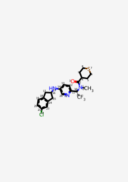 CN(C(=O)C1CCSCC1)[C@@H](c1ccc(NC2Cc3ccc(Cl)cc3C2)cn1)C(F)(F)F